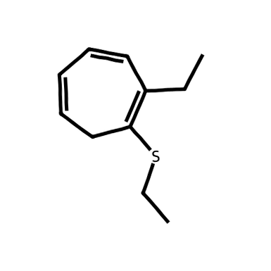 CCSC1=C(CC)C=CC=CC1